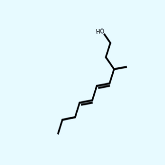 CCC/C=C/C=C/C(C)CCO